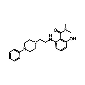 CN(C)C(=O)c1c(O)cccc1NCCN1CCN(c2ccccc2)CC1